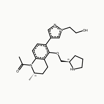 CC(=O)N1c2ccc(-c3cnn(CCO)c3)c(OC[C@H]3CCCN3)c2CC[C@@H]1C